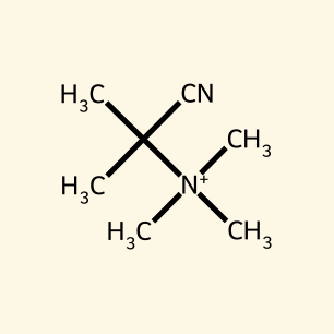 CC(C)(C#N)[N+](C)(C)C